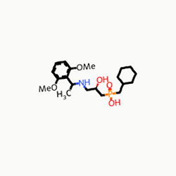 COc1cccc(OC)c1C(C)NC[C@@H](O)CP(=O)(O)CC1CCCCC1